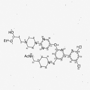 CCOC(O)CCN1CCN(c2ncc(Oc3cc(CN4CCC(CNC(C)=O)CC4)cc(-c4cc(Cl)cc(Cl)c4)n3)cn2)CC1